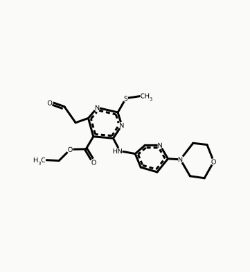 CCOC(=O)c1c(CC=O)nc(SC)nc1Nc1ccc(N2CCOCC2)nc1